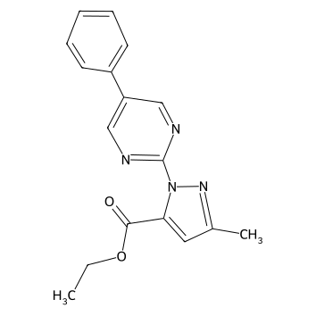 CCOC(=O)c1cc(C)nn1-c1ncc(-c2ccccc2)cn1